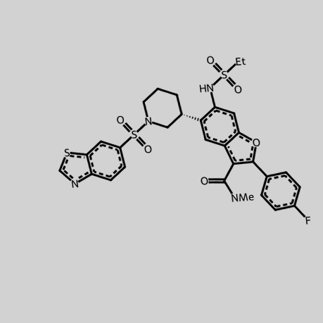 CCS(=O)(=O)Nc1cc2oc(-c3ccc(F)cc3)c(C(=O)NC)c2cc1[C@H]1CCCN(S(=O)(=O)c2ccc3ncsc3c2)C1